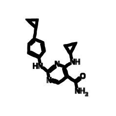 NC(=O)c1cnc(Nc2ccc(C3CC3)cc2)nc1NC1CC1